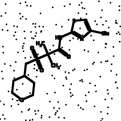 CC(C)(C)c1csc(NC(=O)C(C)(C)S(=O)(=O)CC2CCOCC2)n1